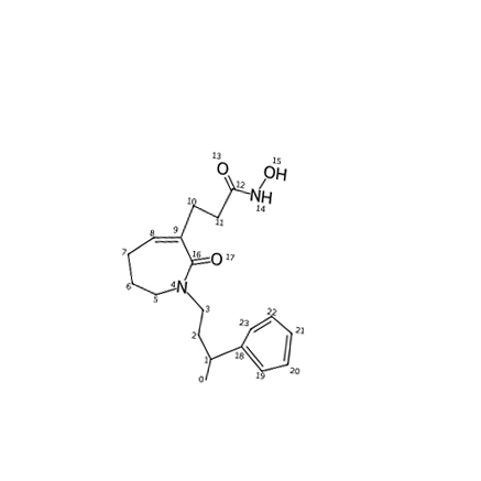 CC(CCN1CCCC=C(CCC(=O)NO)C1=O)c1ccccc1